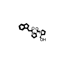 O=C([C@@H]1CCCN1C(=O)CC1CCc2ccccc21)N1CCC[C@H]1CO